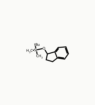 CC(C)(C)[Si](C)(C)OC1CCc2ccccc21